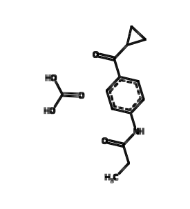 CCC(=O)Nc1ccc(C(=O)C2CC2)cc1.O=C(O)O